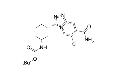 CC(C)(C)OC(=O)N[C@@H]1CCC[C@H](c2nnc3cc(C(N)=O)c(Cl)cn23)C1